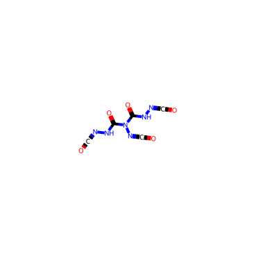 O=C=NNC(=O)N(N=C=O)C(=O)NN=C=O